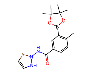 Cc1ccc(C(=O)NN2NC=CS2)cc1B1OC(C)(C)C(C)(C)O1